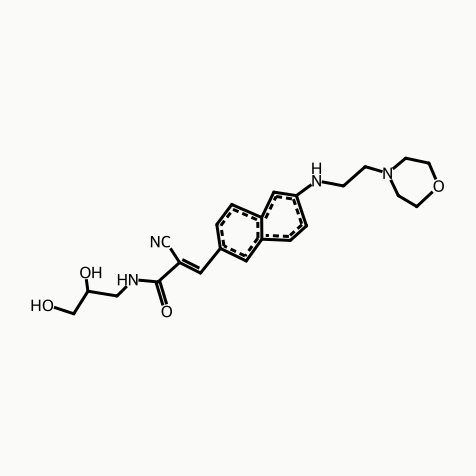 N#C/C(=C\c1ccc2cc(NCCN3CCOCC3)ccc2c1)C(=O)NCC(O)CO